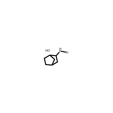 CCNC1CC2CCC1C2.Cl